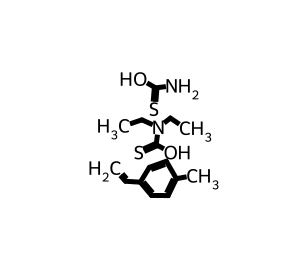 C=Cc1ccc(C)cc1.CCN(CC)C(O)=S.NC(O)=S